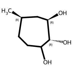 C[C@@H]1CCC(O)[C@@H](O)[C@H](O)C1